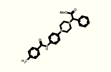 COC(=O)C(c1ccccc1)N1CCN(c2ccc(NC(=O)c3ccc(C)cc3)cc2)CC1